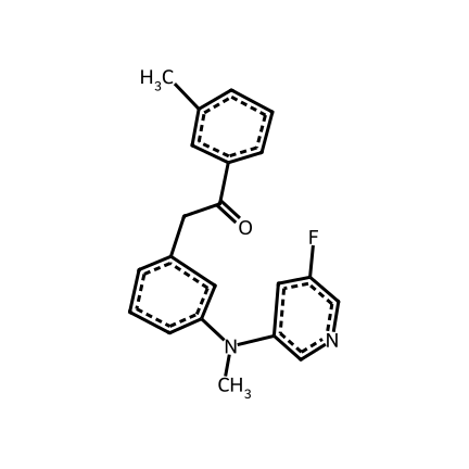 Cc1cccc(C(=O)Cc2cccc(N(C)c3cncc(F)c3)c2)c1